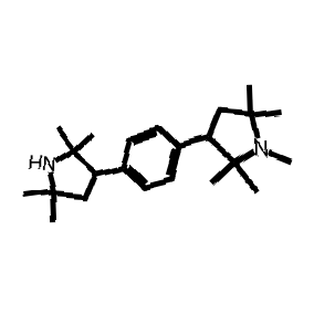 CN1C(C)(C)CC(c2ccc(C3CC(C)(C)NC3(C)C)cc2)C1(C)C